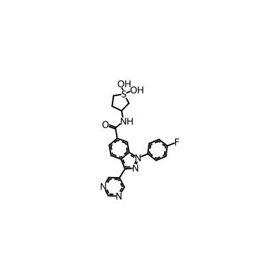 O=C(NC1CCS(O)(O)C1)c1ccc2c(-c3cncnc3)nn(-c3ccc(F)cc3)c2c1